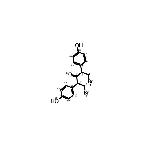 O=C(C(CBr)c1ccc(O)cc1)C(CBr)c1ccc(O)cc1